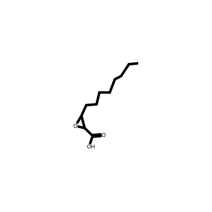 CCCCCCCCC1OC1C(=O)O